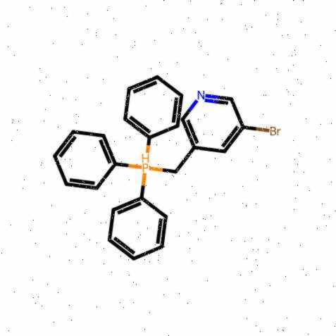 Brc1cncc(C[PH](c2ccccc2)(c2ccccc2)c2ccccc2)c1